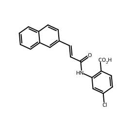 O=C(C=Cc1ccc2ccccc2c1)Nc1cc(Cl)ccc1C(=O)O